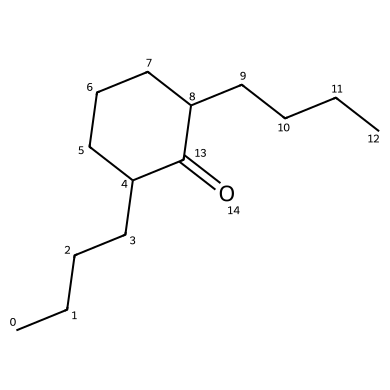 CCCCC1CCCC(CCCC)C1=O